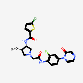 CO[C@H]1CN(CC(=O)Nc2ccc(-n3ccncc3=O)cc2F)C[C@@H]1NC(=O)c1ccc(Cl)s1